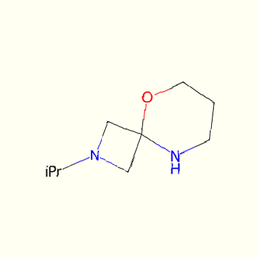 CC(C)N1CC2(C1)NCCCO2